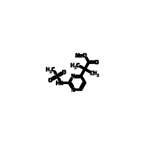 COC(=O)C(C)(C)c1ccnc(NS(C)(=O)=O)n1